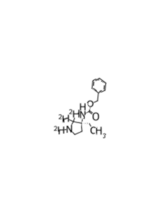 [2H]N1CC[C@](CC)(NC(=O)OCc2ccccc2)C1([2H])[2H]